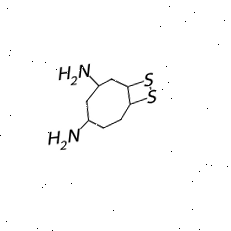 NC1CCC2SSC2CC(N)C1